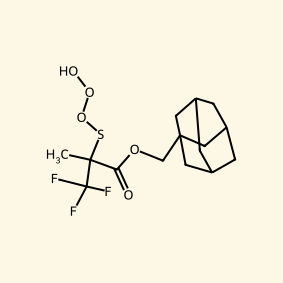 CC(SOOO)(C(=O)OCC12CC3CC(CC(C3)C1)C2)C(F)(F)F